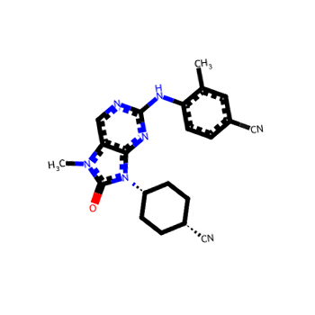 Cc1cc(C#N)ccc1Nc1ncc2c(n1)n([C@H]1CC[C@@H](C#N)CC1)c(=O)n2C